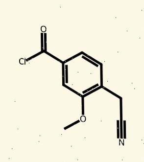 COc1cc(C(=O)Cl)ccc1CC#N